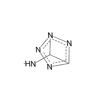 [NH]C1c2nnn1n2